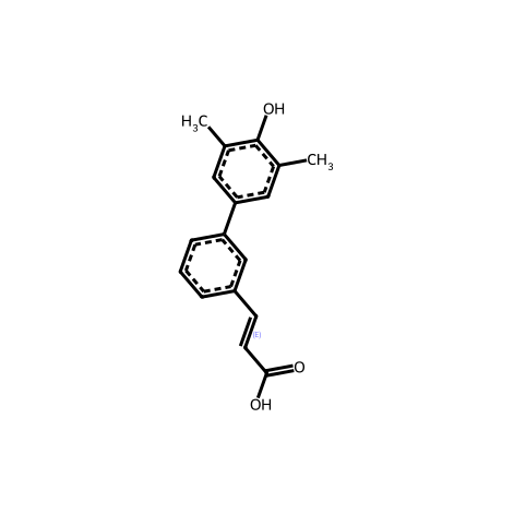 Cc1cc(-c2cccc(/C=C/C(=O)O)c2)cc(C)c1O